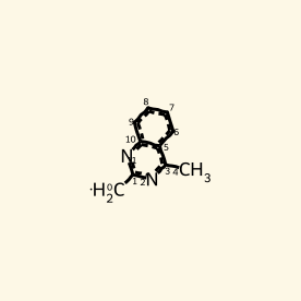 [CH2]c1nc(C)c2ccccc2n1